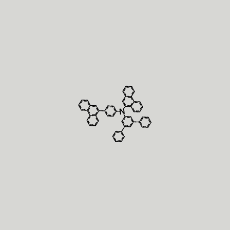 c1ccc(-c2cc(-c3ccccc3)cc(N(c3ccc(-c4cc5ccccc5c5ccccc45)cc3)c3cc4ccccc4c4ccccc34)c2)cc1